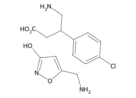 NCC(CC(=O)O)c1ccc(Cl)cc1.NCc1cc(O)no1